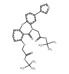 CC(C)(C)OC(=O)COc1cccc2c1C(=O)N(CC(=O)OC(C)(C)C)c1cc(-c3ccsc3)ccc1O2